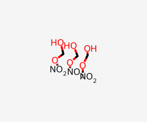 O=[N+]([O-])OCO.O=[N+]([O-])OCO.O=[N+]([O-])OCO